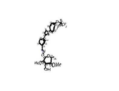 CO[C@@H]1[C@@H](O)[C@@H](OC)[C@H](O/N=C/c2ccc(-c3ccn(-c4ccc(OC(F)(F)C(F)(F)F)cc4)n3)cc2)O[C@H]1C